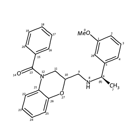 COc1cccc([C@@H](C)NCC2CN(C(=O)c3ccccc3)c3ccccc3O2)c1